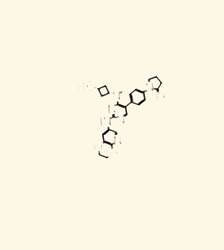 CN(c1nc(Nc2cnc3c(c2)OCCO3)ncc1-c1ccc(N2CCCC2=O)cc1)[C@H]1C[C@H](O)C1